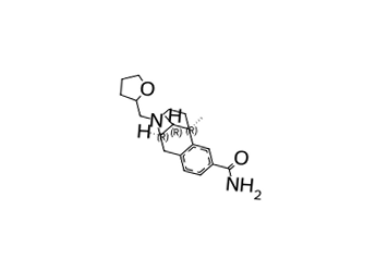 C[C@H]1[C@H]2Cc3ccc(C(N)=O)cc3[C@]1(C)CCN2CC1CCCO1